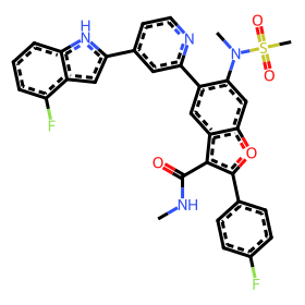 CNC(=O)c1c(-c2ccc(F)cc2)oc2cc(N(C)S(C)(=O)=O)c(-c3cc(-c4cc5c(F)cccc5[nH]4)ccn3)cc12